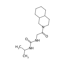 CC(C)NC(=O)NCC(=O)N1CCC2CCCCC2C1